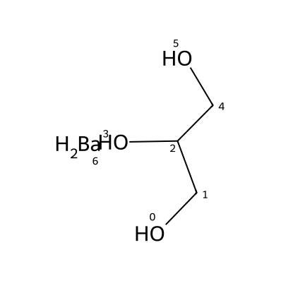 OCC(O)CO.[BaH2]